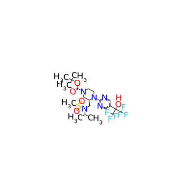 CC(C)N(C[C@H]1CN(C(=O)OC(C)(C)C)CCN1c1ncc(C(O)(C(F)(F)F)C(F)(F)F)cn1)S(C)(=O)=O